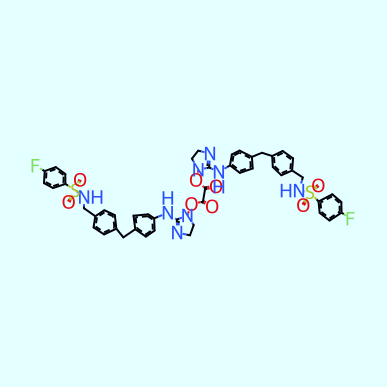 O=C(ON1CCN=C1Nc1ccc(Cc2ccc(CNS(=O)(=O)c3ccc(F)cc3)cc2)cc1)C(=O)ON1CCN=C1Nc1ccc(Cc2ccc(CNS(=O)(=O)c3ccc(F)cc3)cc2)cc1